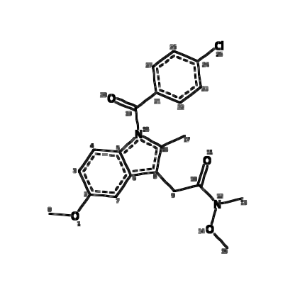 COc1ccc2c(c1)c(CC(=O)N(C)OC)c(C)n2C(=O)c1ccc(Cl)cc1